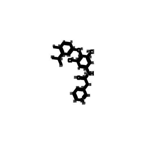 Cc1ccc(Oc2c(Cl)cc(NC(=O)Cc3cccnc3)cc2Cl)cc1C(C)C